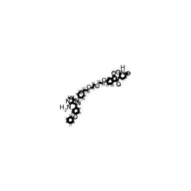 Nc1ncnc2c1c(-c1ccc(Oc3ccccc3)cc1)nn2C1CCN(CCOCCOCCOc2ccc3c(c2)C(=O)N(C2CCC(=O)NC2=O)C3=O)CC1